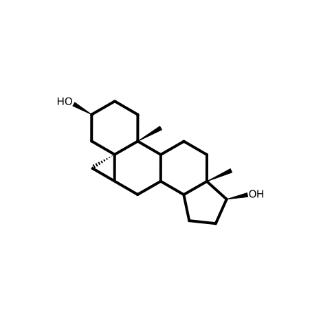 C[C@]12CCC3C(CC4C[C@@]45C[C@@H](O)CC[C@]35C)C1CC[C@@H]2O